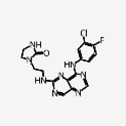 O=C1NCCN1CCNc1ncc2ncnc(Nc3ccc(F)c(Cl)c3)c2n1